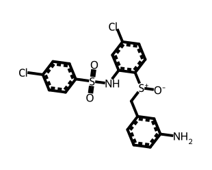 Nc1cccc(C[S+]([O-])c2ccc(Cl)cc2NS(=O)(=O)c2ccc(Cl)cc2)c1